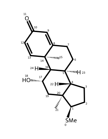 CS[C@@H]1CC[C@H]2[C@@H]3CCC4=CC(=O)C=C[C@]4(C)[C@H]3[C@@H](O)C[C@]12C